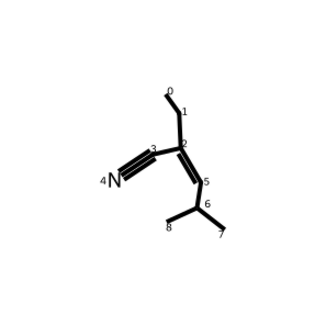 CC/C(C#N)=C/C(C)C